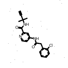 C#CC(C)(C)NC(=O)c1cc(NC(=O)Cc2ccccc2Cl)ccn1